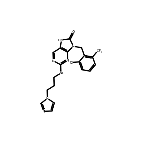 O=c1[nH]c2cnc(NCCCn3ccnc3)nc2n1Cc1c(Cl)cccc1C(F)(F)F